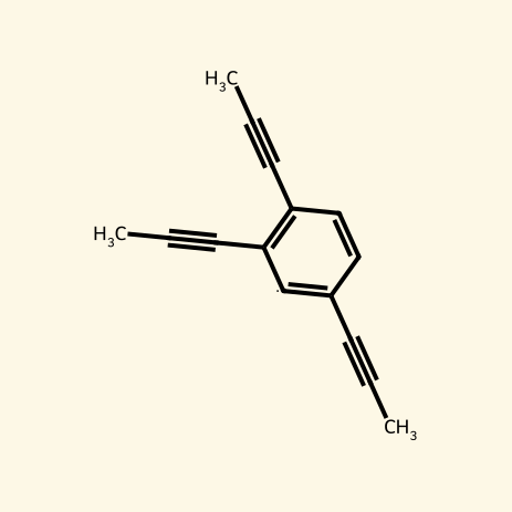 CC#Cc1[c]c(C#CC)c(C#CC)cc1